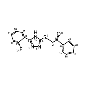 O=C(CSc1nnc(-c2ccccc2F)[nH]1)c1ccccc1